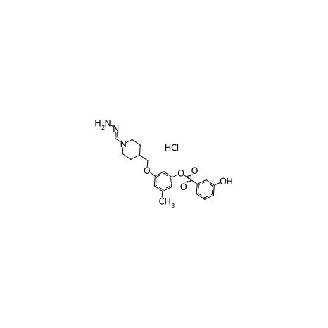 Cc1cc(OCC2CCN(C=NN)CC2)cc(OS(=O)(=O)c2cccc(O)c2)c1.Cl